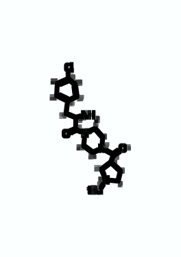 CC(C)(C)N1CCC(C(=O)N2CCN(C(=O)C(N)Cc3ccc(Cl)cc3)CC2)C1